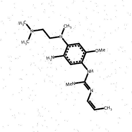 C/C=C\N=C(/NC)Nc1cc(N)c(N(C)CCN(C)C)cc1OC